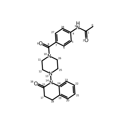 CC(=O)Nc1ccc(C(=O)N2CCN(N3C(=O)CCc4ccccc43)CC2)cc1